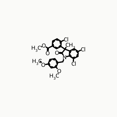 COC(=O)c1ccc(Cl)c(C2(C)C(=O)N(Cc3ccc(OC)cc3OC)c3c(Cl)cc(Cl)cc32)c1